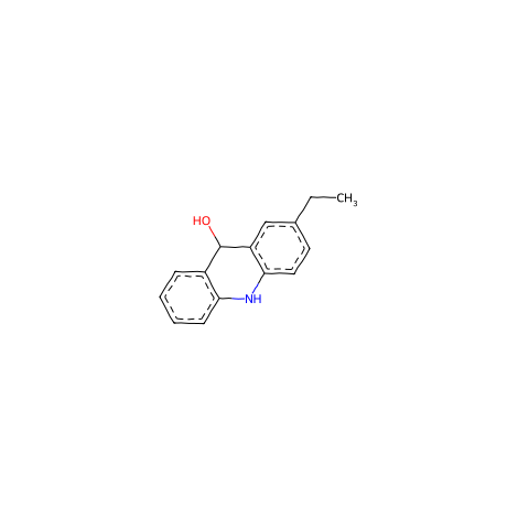 CCc1ccc2c(c1)C(O)c1ccccc1N2